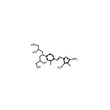 Cc1cc(N(CC(O)CO)CC(O)CO)ccc1/N=N/c1sc(N)c(C)c1N